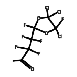 CC(=O)C(F)(F)C(F)(F)C1(F)OC(F)(Cl)C(Cl)(Cl)O1